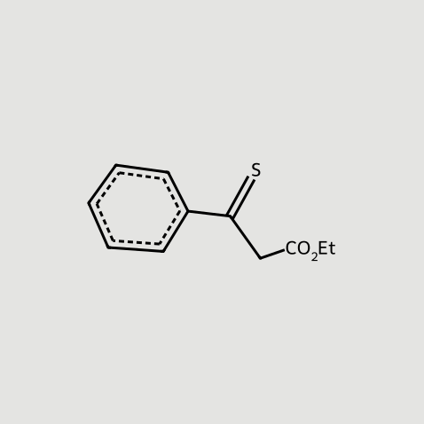 CCOC(=O)CC(=S)c1ccccc1